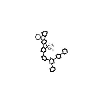 CC1(C)c2cc(-c3cccc(-c4nc(-c5ccccc5)nc(-c5ccc(-c6ccccc6)cc5)n4)c3)ccc2-c2cc3c(cc21)-c1ccccc1C31CCCCC1